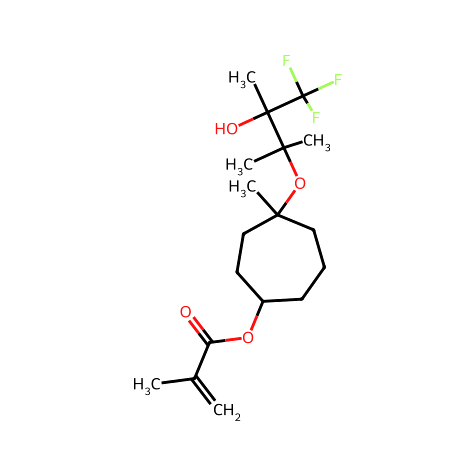 C=C(C)C(=O)OC1CCCC(C)(OC(C)(C)C(C)(O)C(F)(F)F)CC1